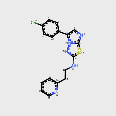 Clc1ccc(-c2cnc3sc(NCCc4ccccn4)nn23)cc1